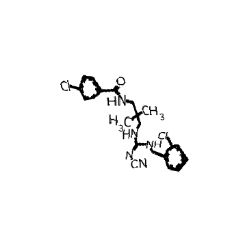 CC(C)(CNC(=O)c1ccc(Cl)cc1)CNC(=NC#N)NCc1ccccc1Cl